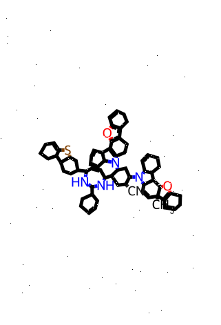 CC12C=CC3C(C4CCC=CC4N3C3CC(N4C5=C(c6oc7c(c6CC5)CCC=C7)C5C=CC=CC54)C(C4C=CC(C5CCC6C(C5)SC5=CCCCC56)NC(C5CC=CCC5)N4)CC3C#N)C1OC1=C2C=CCC1